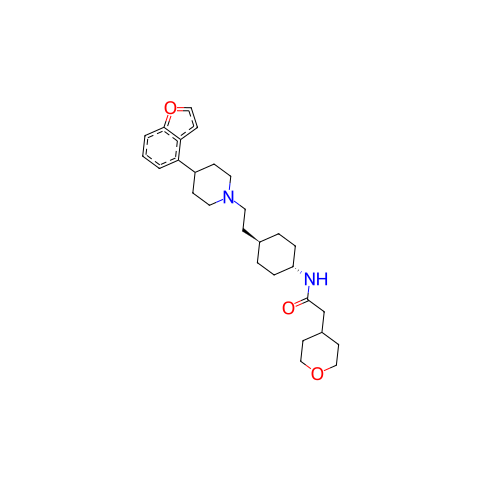 O=C(CC1CCOCC1)N[C@H]1CC[C@H](CCN2CCC(c3cccc4occc34)CC2)CC1